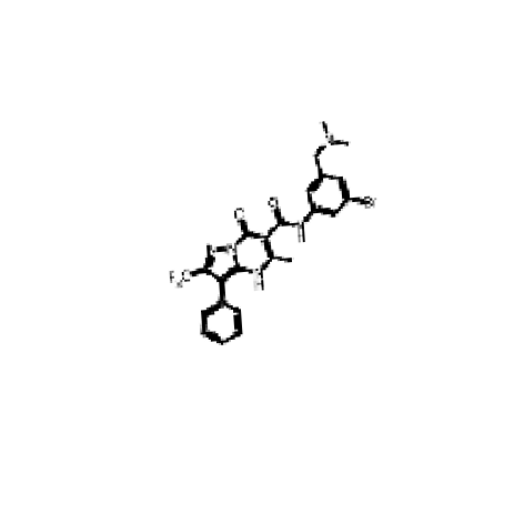 Cc1[nH]c2c(-c3ccccc3)c(C(F)(F)F)nn2c(=O)c1C(=O)Nc1cc(Br)cc(CN(C)C)c1